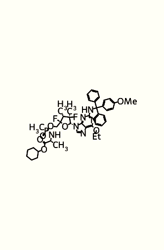 CCOc1nc(NC(c2ccccc2)(c2ccccc2)c2ccc(OC)cc2)nc2c1ncn2[C@@H]1O[C@](F)(COP(C)(=O)N[C@@H](C)C(=O)OC2CCCCC2)[C@@H](C)[C@@]1(C)F